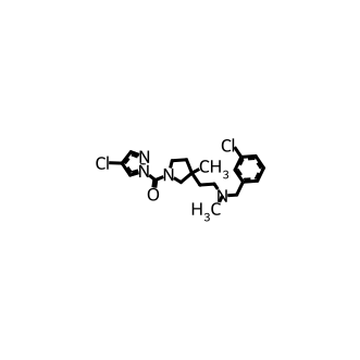 CN(CCC1(C)CCN(C(=O)n2cc(Cl)cn2)C1)Cc1cccc(Cl)c1